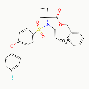 CCOC(=O)/C=C/N(C1(C(=O)OCc2ccccc2)CCC1)S(=O)(=O)c1ccc(Oc2ccc(F)cc2)cc1